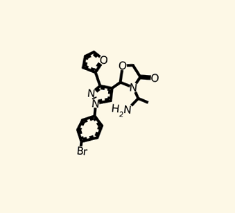 CC(N)N1C(=O)COC1c1cn(-c2ccc(Br)cc2)nc1-c1ccco1